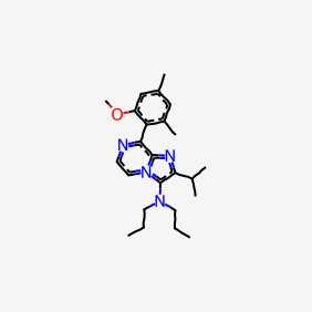 CCCN(CCC)c1c(C(C)C)nc2c(-c3c(C)cc(C)cc3OC)nccn12